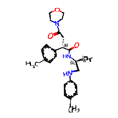 Cc1ccc(NC[C@@H](NC(=O)[C@@H](CC(=O)N2CCOCC2)c2ccc(C)cc2)C(C)C)cc1